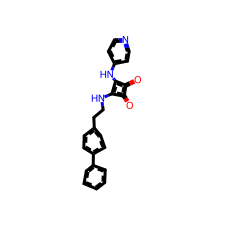 O=c1c(NCCc2ccc(-c3ccccc3)cc2)c(Nc2ccncc2)c1=O